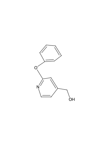 OCc1ccnc(Oc2ccccc2)c1